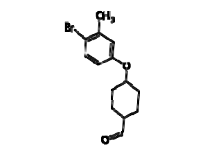 Cc1cc(OC2CCC(C=O)CC2)ccc1Br